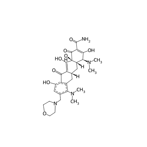 CN(C)c1c(CN2CCOCC2)cc(O)c2c1C[C@H]1C[C@H]3[C@H](N(C)C)C(O)=C(C(N)=O)C(=O)[C@@]3(O)C(O)=C1C2=O